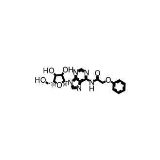 O=C(COc1ccccc1)Nc1ncnc2c1ncn2[C@@H]1O[C@H](CO)C(O)C1O